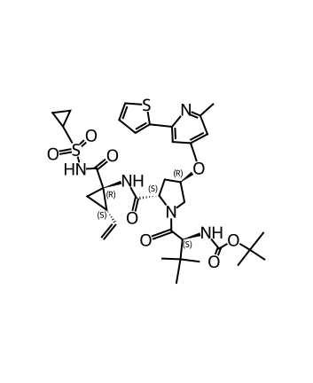 C=C[C@@H]1C[C@]1(NC(=O)[C@@H]1C[C@@H](Oc2cc(C)nc(-c3cccs3)c2)CN1C(=O)[C@@H](NC(=O)OC(C)(C)C)C(C)(C)C)C(=O)NS(=O)(=O)C1CC1